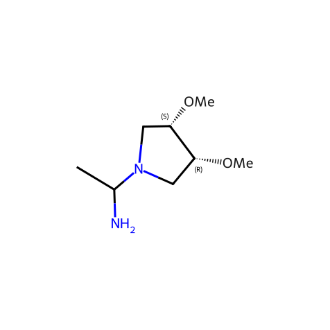 CO[C@H]1CN(C(C)N)C[C@H]1OC